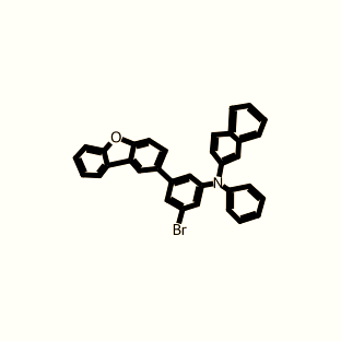 Brc1cc(-c2ccc3oc4ccccc4c3c2)cc(N(c2ccccc2)c2ccc3ccccc3c2)c1